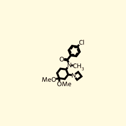 COC1(OC)CCC(N(C)C(=O)c2ccc(Cl)cc2)C(N2CCC2)C1